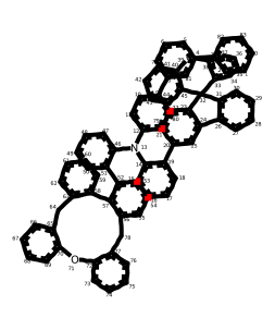 c1ccc(-c2cccc(-c3ccc(N(c4ccccc4-c4ccc5c(c4)-c4ccccc4C54c5ccccc5Oc5ccccc54)c4ccccc4-c4cccc5c4-c4ccccc4Cc4ccccc4Oc4ccccc4C5)cc3)c2)cc1